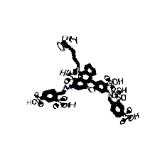 CN(CCCC(=O)O)C(=O)c1ccccc1-c1c2cc(S(=O)(=O)O)/c(=N/Cc3ccc(S(=O)(=O)O)cc3S(=O)(=O)O)cc-2oc2cc(NCc3ccc(S(=O)(=O)O)cc3S(=O)(=O)O)c(S(=O)(=O)O)cc12